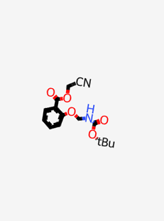 CC(C)(C)OC(=O)NCOc1ccccc1C(=O)OCC#N